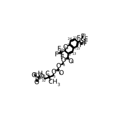 CC(C)(COC(=O)OCOC(=O)C1=Cc2cc(S(F)(F)(F)(F)F)ccc2O[C@@H]1C(F)(F)F)CO[N+](=O)[O-]